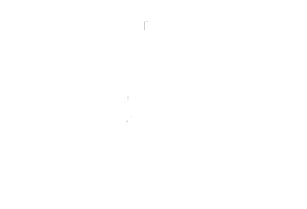 CCCCC1CCc2cc(F)ccc2S(=O)(=O)C1